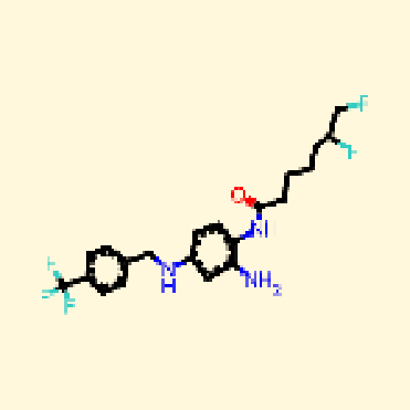 Nc1cc(NCc2ccc(C(F)(F)F)cc2)ccc1NC(=O)CCCCC(F)CF